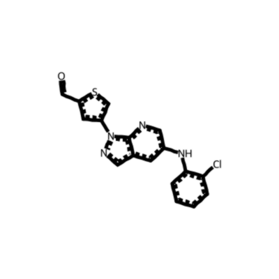 O=Cc1cc(-n2ncc3cc(Nc4ccccc4Cl)cnc32)cs1